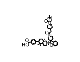 CC(C)(C)OC(=O)N1CCC(CC(=O)N2CCC(C(=O)N3CC=C4C(C)(C)C(c5ccc(C(=O)O)cc5)=CC[C@]4(C)C3)(c3ccccc3)CC2)CC1